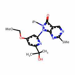 COCOc1cc(-n2c3nc(SC)ncc3c(=O)n2C(C)C)nc(C(C)(C)O)c1